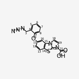 [N-]=[N+]=NCc1ccccc1Oc1ccc2c(c1)N1C=CN(C(=O)O)C1S2